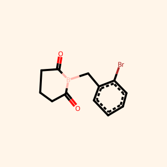 O=C1CCCC(=O)B1Cc1ccccc1Br